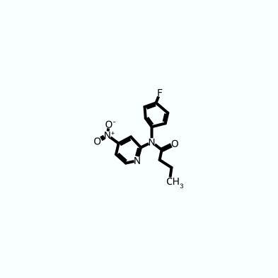 CCCC(=O)N(c1ccc(F)cc1)c1cc([N+](=O)[O-])ccn1